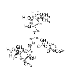 CC(=O)[O-].CC(=O)[O-].Cc1cc([Si](C)(C)C)cc(C=NCCCN=Cc2cc([Si](C)(C)C)cc(C)c2O)c1O.[Co+2]